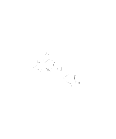 Nc1nc(NCc2ccc(Cl)cc2)nc2[nH]cnc12